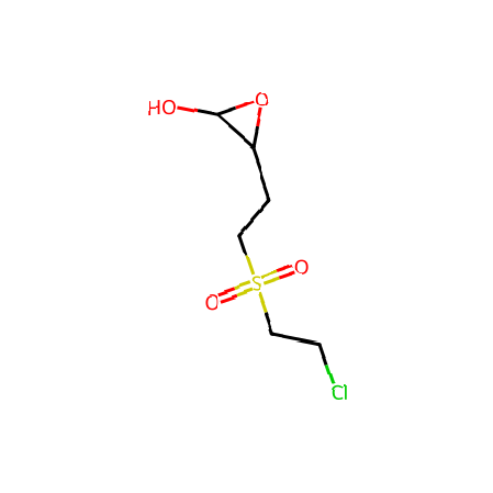 O=S(=O)(CCCl)CCC1OC1O